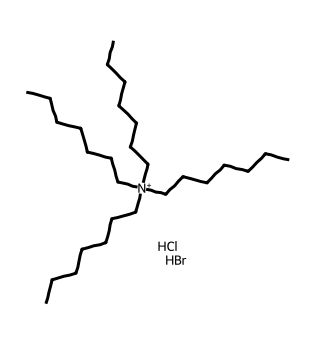 Br.CCCCCCC[N+](CCCCCCC)(CCCCCCC)CCCCCCC.Cl